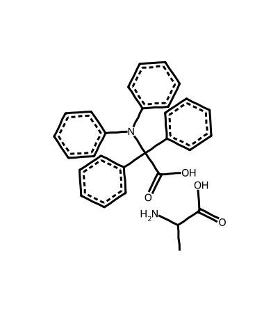 CC(N)C(=O)O.O=C(O)C(c1ccccc1)(c1ccccc1)N(c1ccccc1)c1ccccc1